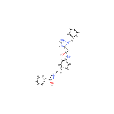 O=C(CC1N=CNN1Cc1ccccc1)Nc1ccc(CCNCC(O)c2ccccc2)cc1